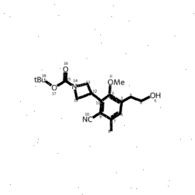 COc1c(CCO)cc(C)c(C#N)c1C1CN(C(=O)OC(C)(C)C)C1